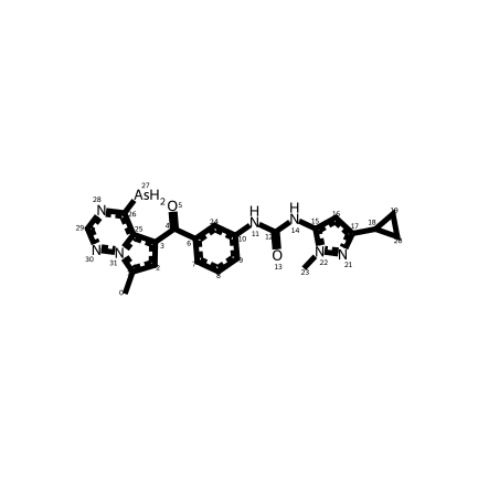 Cc1cc(C(=O)c2cccc(NC(=O)Nc3cc(C4CC4)nn3C)c2)c2c([AsH2])ncnn12